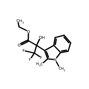 CCOC(=O)C(O)(c1c(C)n(C)c2ccccc12)C(F)(F)F